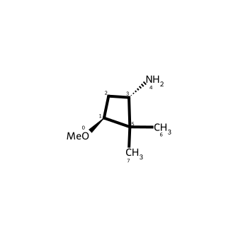 CO[C@H]1C[C@H](N)C1(C)C